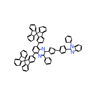 c1ccc(-c2nc3c(-c4ccc5c(c4)C4(c6ccccc6-c6ccccc64)c4ccccc4-5)ccc(-c4ccc5c(c4)C4(c6ccccc6-c6ccccc64)c4ccccc4-5)c3nc2-c2ccc(-c3ccc(-c4nc5ccccc5n4-c4ccccc4)cc3)cc2)cc1